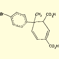 CC1(c2ccc(Br)cc2)C=CC(C(=O)O)=CC1C(=O)O